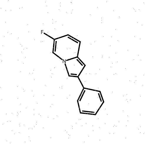 Fc1ccc2cc(-c3ccccc3)cn2c1